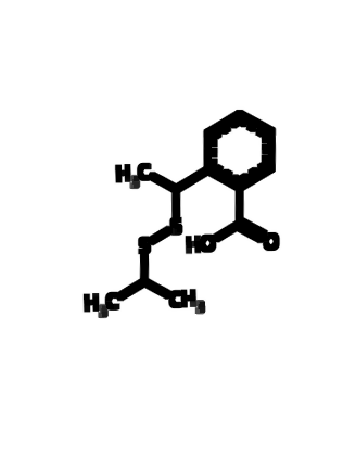 CC(C)SSC(C)c1ccccc1C(=O)O